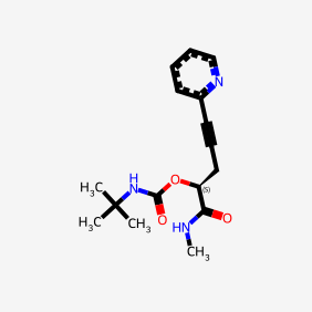 CNC(=O)[C@H](CC#Cc1ccccn1)OC(=O)NC(C)(C)C